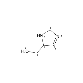 CCC1N=NCN1